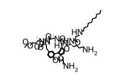 CCCCCCCCCCNCCC(=O)N[C@@H](CCCCN)C(=O)N(C)[C@@H]1C(=O)N[C@@H](C)C(=O)N[C@H](C(=O)N[C@@H](C)C(=O)COC(C)=O)Cc2ccc(O)c(c2)-c2cc1ccc2OCCN